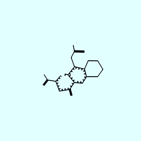 CC(=O)Cc1c2c(cc3c(=O)cc(C(=O)O)oc13)CCCC2